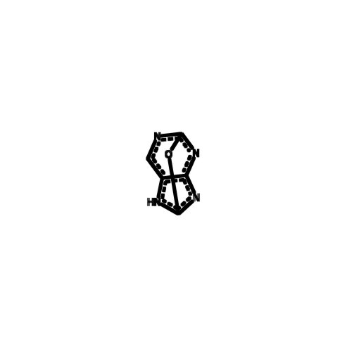 c1nc2nc3nc([nH]c13)O2